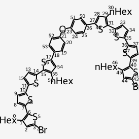 CCCCCCc1cc(Br)sc1-c1ccc(-c2ccc(-c3sc(-c4ccc(Oc5ccc(-c6cc(CCCCCC)c(-c7ccc(-c8ccc(-c9sc(Br)cc9CCCCCC)s8)s7)s6)cc5)cc4)cc3CCCCCC)s2)s1